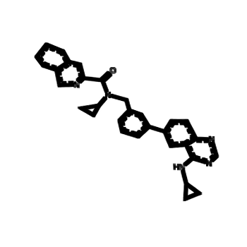 O=C(c1cc2ccccc2cn1)N(Cc1cccc(-c2ccc3ncnc(NC4CC4)c3c2)c1)C1CC1